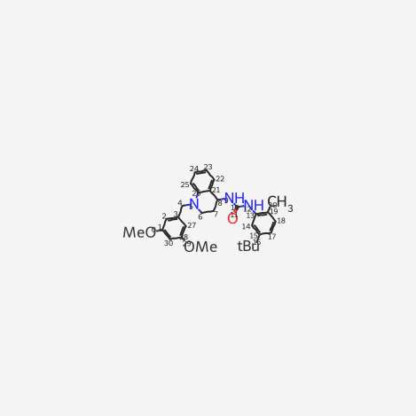 COc1cc(CN2CCC(NC(=O)Nc3cc(C(C)(C)C)ccc3C)c3ccccc32)cc(OC)c1